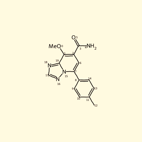 COc1c(C(N)=O)cc(-c2ccc(C)cc2)n2n[c]nc12